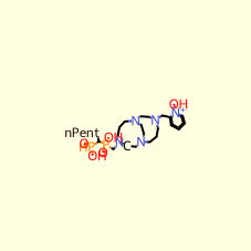 CCCCCC([PH](=O)O)P(=O)(O)CN1CCCN2CCN(CCCN(Cc3cccc[n+]3O)CC2)CC1